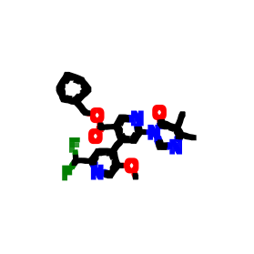 COc1cnc(C(F)F)cc1-c1cc(-n2cnc(C)c(C)c2=O)ncc1C(=O)OCc1ccccc1